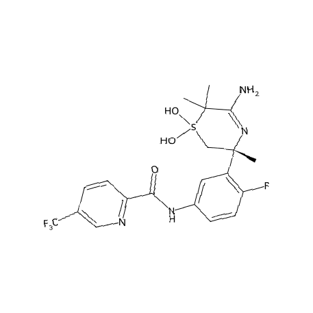 CC1(C)C(N)=N[C@](C)(c2cc(NC(=O)c3ccc(C(F)(F)F)cn3)ccc2F)CS1(O)O